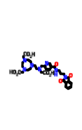 O=C(O)CN1CCN(CCN(CC(=O)O)Cc2ccc(C(=O)NCCCN3C(=O)c4ccccc4C3=O)cn2)CCN(CC(=O)O)CC1